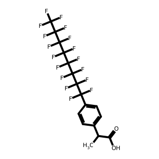 CC(C(=O)O)c1ccc(C(F)(F)C(F)(F)C(F)(F)C(F)(F)C(F)(F)C(F)(F)C(F)(F)C(F)(F)F)cc1